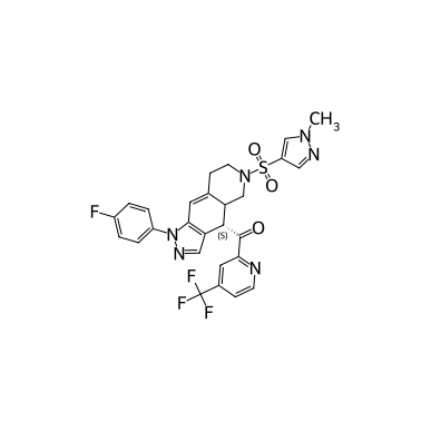 Cn1cc(S(=O)(=O)N2CCC3=Cc4c(cnn4-c4ccc(F)cc4)[C@@H](C(=O)c4cc(C(F)(F)F)ccn4)C3C2)cn1